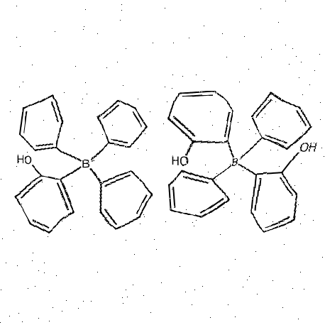 Oc1ccccc1[B-](c1ccccc1)(c1ccccc1)c1ccccc1.Oc1ccccc1[B-](c1ccccc1)(c1ccccc1)c1ccccc1O